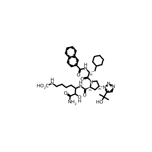 CC(C)(O)c1cnnn1[C@@H]1C[C@@H](C(=O)NC(CCCCNC(=O)O)C(O)C(N)=O)N(C(=O)[C@@H](CC2CCCCC2)NC(=O)c2ccc3ccccc3c2)C1